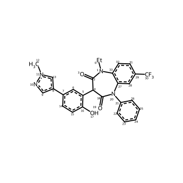 CCN1C(=O)C(c2cc(-c3cnn(C)c3)ccc2O)C(=O)N(c2ccccc2)c2cc(C(F)(F)F)ccc21